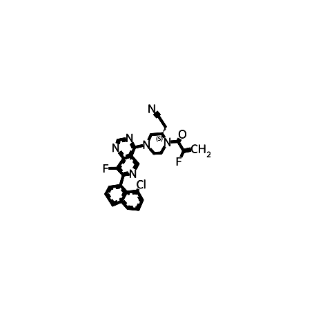 C=C(F)C(=O)N1CCN(c2ncnc3c(F)c(-c4cccc5cccc(Cl)c45)ncc23)C[C@@H]1CC#N